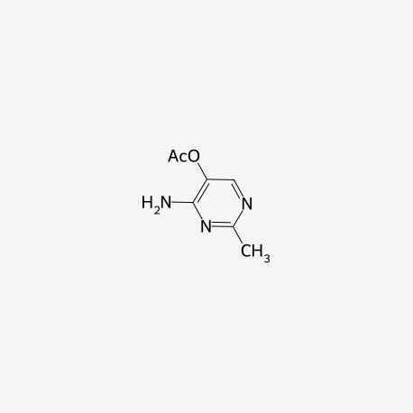 CC(=O)Oc1cnc(C)nc1N